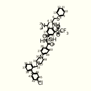 CN(C)CC[C@H](CSc1ccccc1)Nc1ccc(P(=O)(O)NC(=O)c2ccc(N3CCN(Cc4ccccc4-c4ccc(Cl)cc4)CC3)cc2)cc1S(=O)(=O)C(F)(F)F